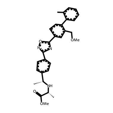 COCc1cc(-c2nc(-c3ccc([C@@H](C)N[C@H](C)C(=O)OC)cc3)no2)ccc1-c1ccccc1C